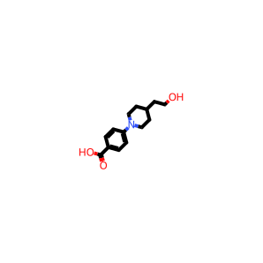 O=C(O)c1ccc(N2CCC(CCO)CC2)cc1